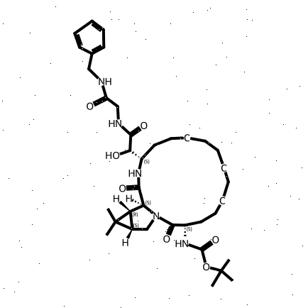 CC(C)(C)OC(=O)N[C@H]1CCCCCCCCCC[C@@H](C(O)C(=O)NCC(=O)NCc2ccccc2)NC(=O)[C@@H]2[C@@H]3[C@H](CN2C1=O)C3(C)C